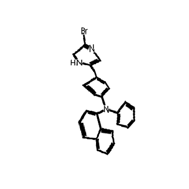 BrC1=NC=C(c2ccc(N(c3ccccc3)c3cccc4ccccc34)cc2)NC1